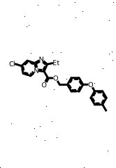 CCc1nc2cc(Cl)ccn2c1C(=O)OCc1ccc(Oc2ccc(C)cc2)cc1